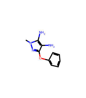 Cn1nc(Oc2ccccc2)c(N)c1N